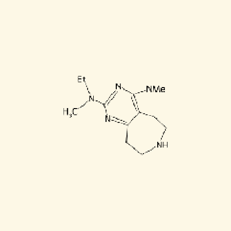 CCN(C)c1nc2c(c(NC)n1)CCNCC2